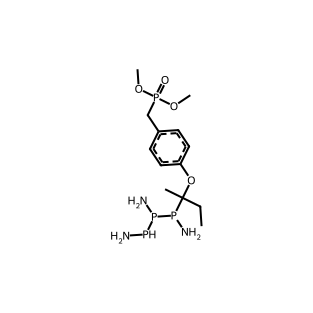 CCC(C)(Oc1ccc(CP(=O)(OC)OC)cc1)P(N)P(N)PN